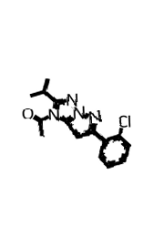 CC(=O)n1c(C(C)C)nn2nc(-c3ccccc3Cl)cc12